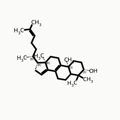 CC(C)=CCC[C@@H](C)[C@H]1CC=C2C3=C(CC[C@@]21C)[C@@]1(C)CC[C@H](O)C(C)(C)C1CC3